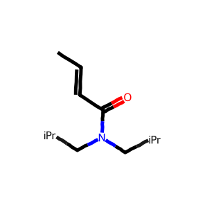 CC=CC(=O)N(CC(C)C)CC(C)C